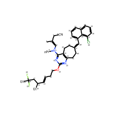 CCCN(/C=C(\C)CC#N)c1nc(OCC/C=C/C(CC)CC(F)(F)CC)nc2c1CC/C(=C\c1cccc3cccc(Cl)c13)CC2